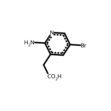 Nc1ncc(Br)cc1CC(=O)O